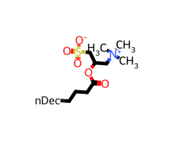 CCCCCCCCCCCCCC(=O)OC(C[N+](C)(C)C)CS(=O)(=O)[O-]